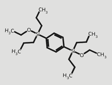 CCC[Si](CCC)(OCC)c1ccc([Si](CCC)(CCC)OCC)cc1